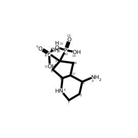 NC1CCNC2CC(P(=O)(O)O)(P(=O)(O)O)CC12